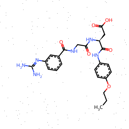 CCCOc1ccc(NC(=O)[C@H](CC(=O)O)NC(=O)CNC(=O)c2cccc(N=C(N)N)c2)cc1